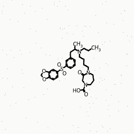 CCCN(CCCCN1CCCN(C(=O)O)CC1=O)C(C)Cc1cccc(S(=O)(=O)c2ccc3c(c2)OCO3)c1